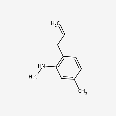 C=CCc1ccc(C)cc1NC